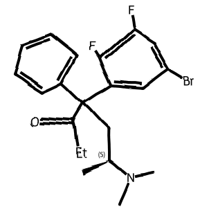 CCC(=O)C(C[C@H](C)N(C)C)(c1ccccc1)c1cc(Br)cc(F)c1F